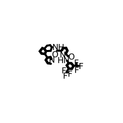 O=C(Nc1cc(C(F)(F)F)cc(C(F)(F)F)c1)c1cccc(C(=O)NC2CCc3cccc(-c4cccnc4)c3C2)n1